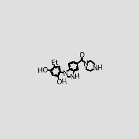 CCc1cc(N2[CH]Nc3cc(C(=O)N4CCNCC4)ccc32)c(O)cc1O